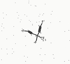 FC#CC(F)(C#CF)C(F)(F)F